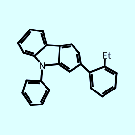 CCc1ccccc1-c1ccc2c3ccccc3n(-c3ccccc3)c2c1